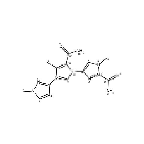 Cc1c(-c2ccn(C)n2)cn(-c2cn(C)c(C(N)=O)n2)c1C(N)=O